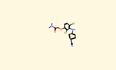 CN(C)C(=O)COc1[c]cc(Cl)c(Nc2ccc(C#N)cc2)c1Cl